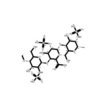 CO[C@@H]1C(CO)O[C@@H](O[C@@H]2C(C(=O)O)O[C@@H](O[C@@H]3C(CO)O[C@@H](C)[C@@H](NS(=O)(=O)O)C3O)[C@@H](OS(=O)(=O)O)C2O)C(NS(=O)(=O)O)[C@H]1O